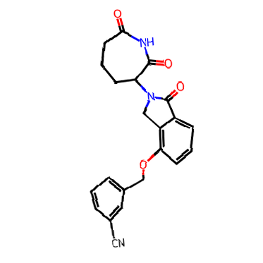 N#Cc1cccc(COc2cccc3c2CN(C2CCCC(=O)NC2=O)C3=O)c1